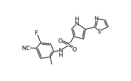 Cc1cc(C#N)c(F)cc1NS(=O)(=O)c1c[nH]c(-c2nccs2)c1